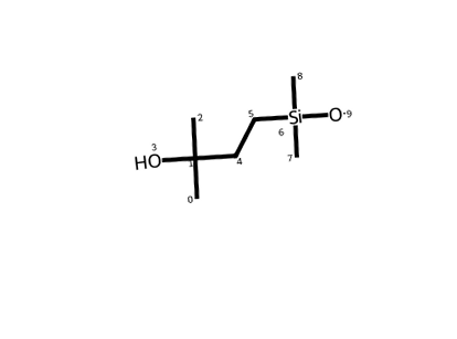 CC(C)(O)CC[Si](C)(C)[O]